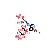 COc1cccc2c(NCCCN(CCO)CCO)ccnc12.O=C(O)/C=C/C(=O)O.O=C(O)/C=C/C(=O)O.O=[N+]([O-])O.O=[N+]([O-])O